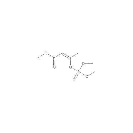 COC(=O)/C=C(/C)OP(=O)(OC)OC